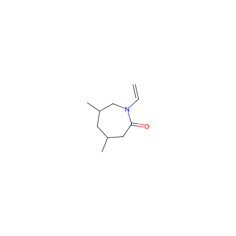 C=CN1CC(C)CC(C)CC1=O